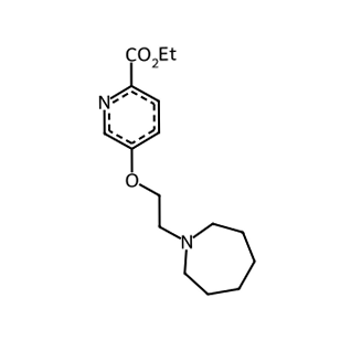 CCOC(=O)c1ccc(OCCN2CCCCCC2)cn1